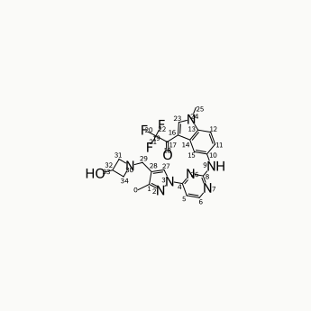 Cc1nn(-c2ccnc(Nc3ccc4c(c3)c(C(=O)C(F)(F)F)cn4C)n2)cc1CN1CC(O)C1